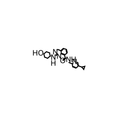 O=C(NCc1ccc(C2CC2)cn1)c1cccc2cnc(N[C@H]3CC[C@H](O)CC3)nc12